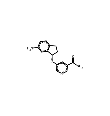 NC(=O)c1cncc(O[C@@H]2CCc3ccc(N)cc32)c1